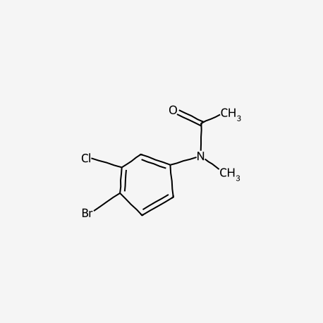 CC(=O)N(C)c1ccc(Br)c(Cl)c1